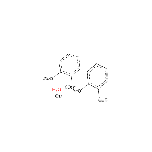 CC(=O)Oc1ccccc1C(=O)[O-].CC(=O)Oc1ccccc1C(=O)[O-].O.[Ca+2]